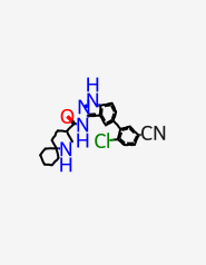 N#Cc1ccc(Cl)c(-c2ccc3[nH]nc(NC(=O)C4CCC5(CCCCC5)NC4)c3c2)c1